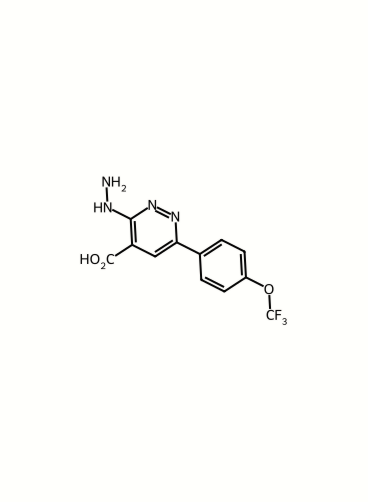 NNc1nnc(-c2ccc(OC(F)(F)F)cc2)cc1C(=O)O